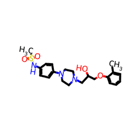 Cc1ccccc1OCC(O)CN1CCN(c2ccc(NS(C)(=O)=O)cc2)CC1